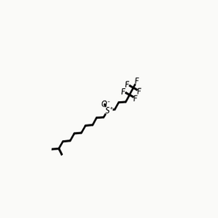 CC(C)CCCCCCCC[S+]([O-])CCCC(F)(F)C(F)(F)F